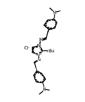 CCCCc1n(/N=C/c2ccc(N(C)C)cc2)cc[n+]1/N=C/c1ccc(N(C)C)cc1.[Cl-]